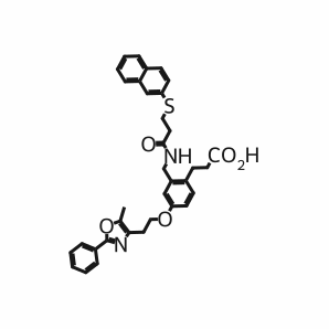 Cc1oc(-c2ccccc2)nc1CCOc1ccc(CCC(=O)O)c(CNC(=O)CCSc2ccc3ccccc3c2)c1